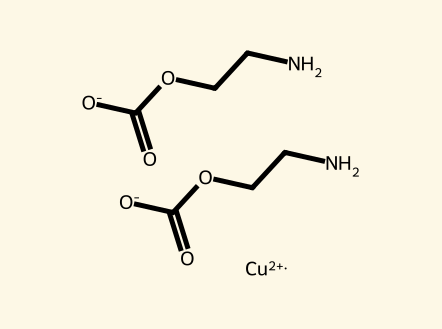 NCCOC(=O)[O-].NCCOC(=O)[O-].[Cu+2]